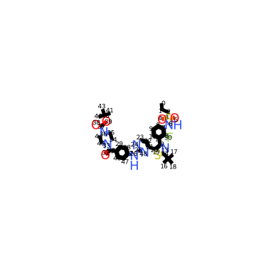 CCCS(=O)(=O)Nc1cccc(-c2nc(C(C)(C)C)sc2-c2ccnc(Nc3ccc(C(=O)N4CCN(C(=O)OC(C)(C)C)CC4)cc3)n2)c1F